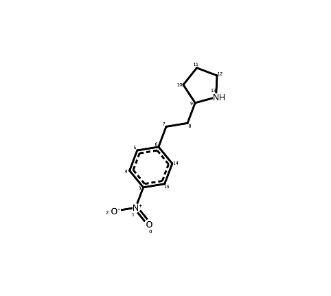 O=[N+]([O-])c1ccc(CCC2CCCN2)cc1